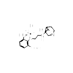 O=C([O-])c1cccc2c1N(CCN[C@@H]1CN3CCC1CC3)S(=O)(=O)N2.[Li+]